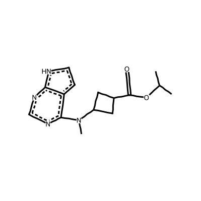 CC(C)OC(=O)C1CC(N(C)c2ncnc3[nH]ccc23)C1